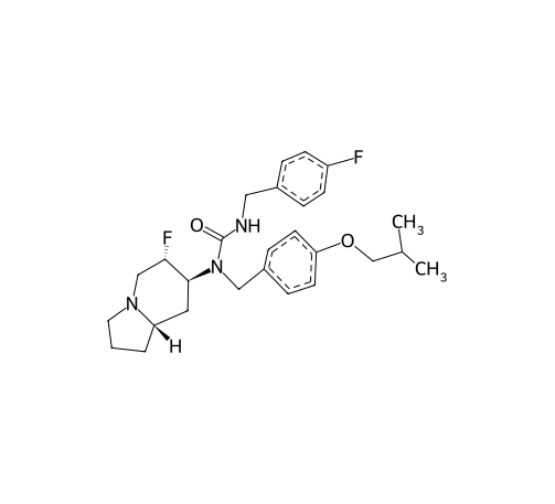 CC(C)COc1ccc(CN(C(=O)NCc2ccc(F)cc2)[C@H]2C[C@@H]3CCCN3C[C@@H]2F)cc1